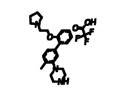 Cc1ccc(-c2ccccc2OCCN2CCCC2)cc1N1CCNCC1.O=C(O)C(F)(F)F